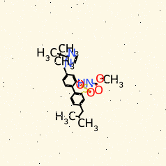 COC(=O)NS(=O)(=O)c1cc(CC(C)C)ccc1-c1ccc(Cn2ccnc2C(C)(C)C)cc1